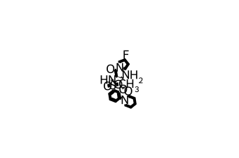 COc1c(N2CCCCC2=O)cccc1S(=O)(=O)N[C@@H](CN)C(=O)N1CC[C@H](F)C1